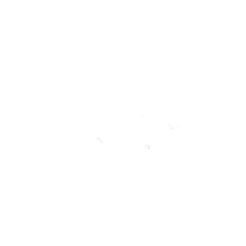 Nc1nc(=O)cc(-c2ccccc2-c2ccccn2)o1